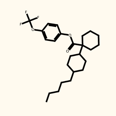 CCCCCC1CCC(C2(C(=O)Oc3ccc(OC(F)(F)F)cc3)CCCCC2)CC1